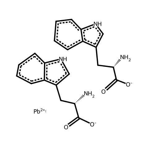 N[C@@H](Cc1c[nH]c2ccccc12)C(=O)[O-].N[C@@H](Cc1c[nH]c2ccccc12)C(=O)[O-].[Pb+2]